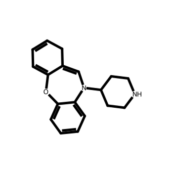 C1=CCC2=CN(C3CCNCC3)c3ccccc3OC2=C1